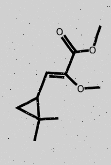 COC(=O)C(=CC1CC1(C)C)OC